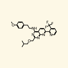 COc1ccc(CCNc2nc(COCC(C)C)nc3nc(-c4ncccc4C(F)(F)F)ccc23)cc1